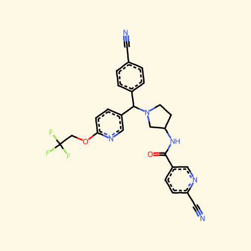 N#Cc1ccc(C(c2ccc(OCC(F)(F)F)nc2)N2CCC(NC(=O)c3ccc(C#N)nc3)C2)cc1